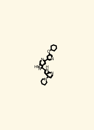 c1cc(N2CCCCC2)c2cc(-c3n[nH]c4cnc(-c5cncc(OC6CCCCC6)c5)cc34)[nH]c2n1